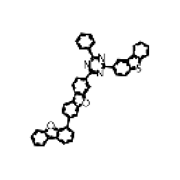 c1ccc(-c2nc(-c3ccc4c(c3)oc3cc(-c5cccc6c5oc5ccccc56)ccc34)nc(-c3ccc4sc5ccccc5c4c3)n2)cc1